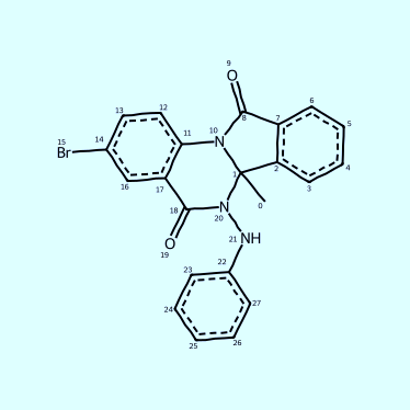 CC12c3ccccc3C(=O)N1c1ccc(Br)cc1C(=O)N2Nc1ccccc1